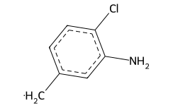 [CH2]c1ccc(Cl)c(N)c1